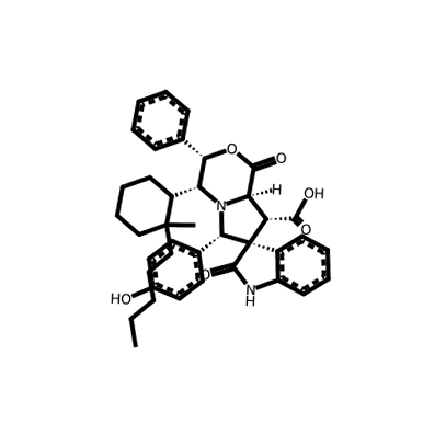 CCCCCC1(C)CCCCC1[C@@H]1[C@H](c2ccccc2)OC(=O)[C@H]2[C@H](C(=O)O)[C@@]3(C(=O)Nc4ccccc43)[C@H](c3ccc(O)cc3)N12